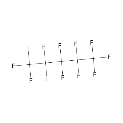 FC(F)(F)C(F)(F)C(F)(F)C(F)(I)C(F)(F)I